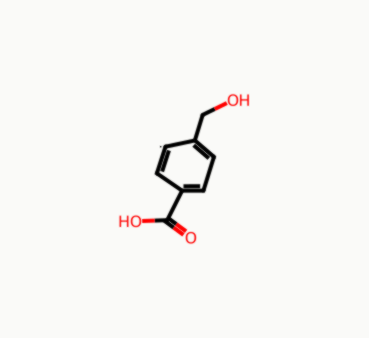 O=C(O)c1c[c]c(CO)cc1